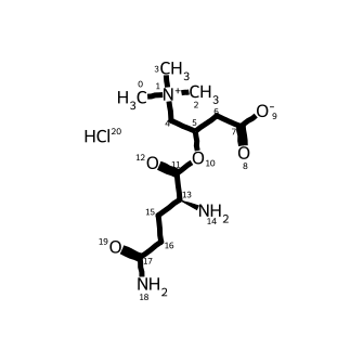 C[N+](C)(C)CC(CC(=O)[O-])OC(=O)[C@@H](N)CCC(N)=O.Cl